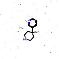 Cl.N#CC1(c2cccnc2)CCNCC1